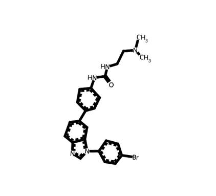 CN(C)CCNC(=O)Nc1ccc(-c2ccc3ncn(-c4ccc(Br)cc4)c3c2)cc1